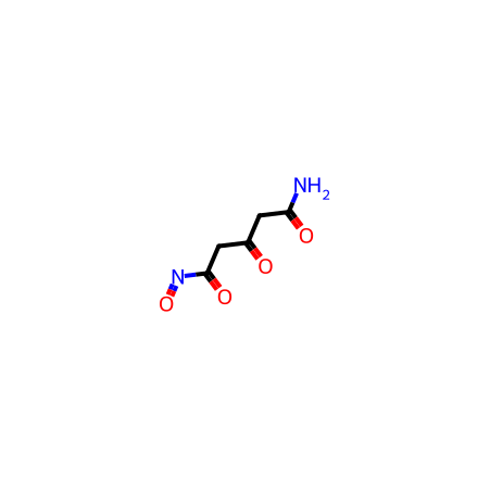 NC(=O)CC(=O)CC(=O)N=O